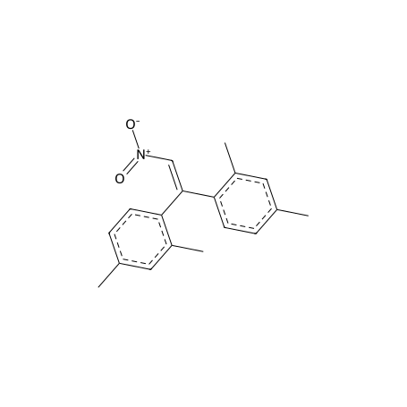 Cc1ccc(C(=C[N+](=O)[O-])c2ccc(C)cc2C)c(C)c1